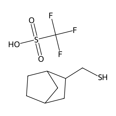 O=S(=O)(O)C(F)(F)F.SCC1CC2CCC1C2